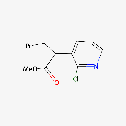 COC(=O)C([CH]C(C)C)c1cccnc1Cl